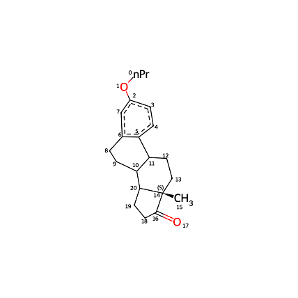 CCCOc1ccc2c(c1)CCC1C2CC[C@]2(C)C(=O)CCC12